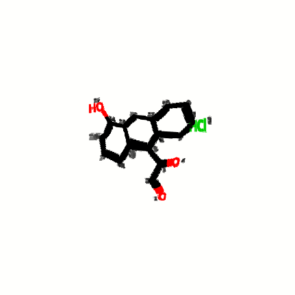 Cl.O=CC(=O)c1c2ccccc2cc2c(O)cccc12